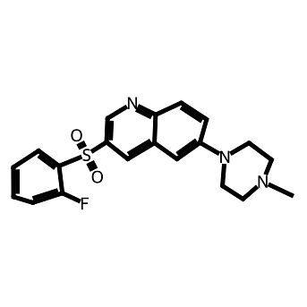 CN1CCN(c2ccc3ncc(S(=O)(=O)c4ccccc4F)cc3c2)CC1